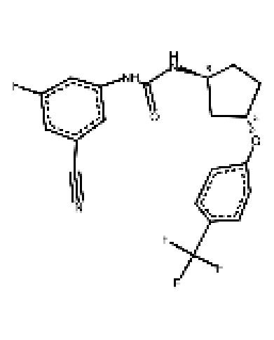 N#Cc1cc(F)cc(NC(=O)N[C@H]2CC[C@H](Oc3ccc(C(F)(F)F)cc3)C2)c1